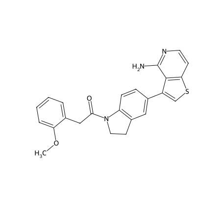 COc1ccccc1CC(=O)N1CCc2cc(-c3csc4ccnc(N)c34)ccc21